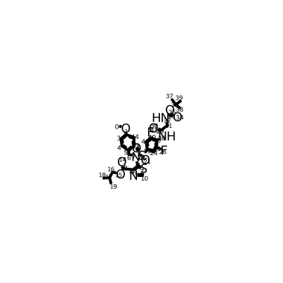 COc1ccc(CN(c2scnc2C(=O)OCC(C)C)S(=O)(=O)c2cc(F)c(NC(=O)CNC(=O)OC(C)(C)C)c(F)c2)cc1